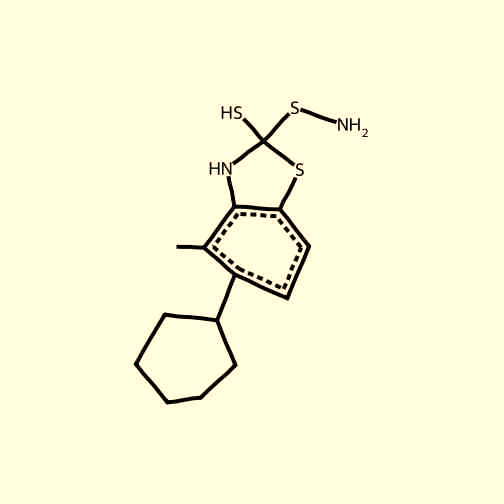 Cc1c(C2CCCCC2)ccc2c1NC(S)(SN)S2